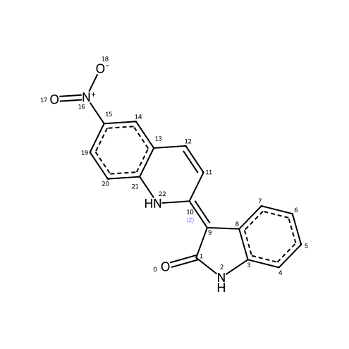 O=C1Nc2ccccc2/C1=C1\C=Cc2cc([N+](=O)[O-])ccc2N1